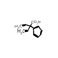 C=CC(C=C)(C(=O)O)c1ccccc1